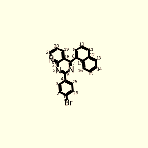 Brc1ccc(-c2nc(-c3cccc4ccccc34)c3cccnc3n2)cc1